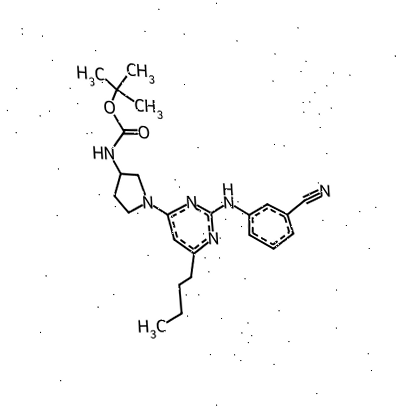 CCCCc1cc(N2CCC(NC(=O)OC(C)(C)C)C2)nc(Nc2cccc(C#N)c2)n1